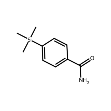 C[Si](C)(C)c1ccc(C(N)=O)cc1